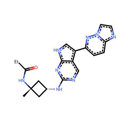 CCC(=O)N[C@]1(C)C[C@H](Nc2ncc3c(-c4ccc5nccn5n4)c[nH]c3n2)C1